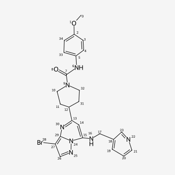 COc1ccc(NC(=O)N2CCC(c3cc(NCc4cccnc4)n4ncc(Br)c4n3)CC2)cc1